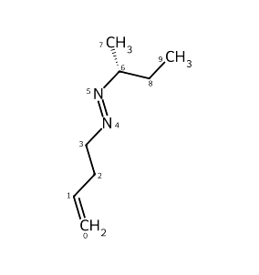 C=CCCN=N[C@H](C)CC